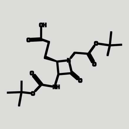 CC(C)(C)OC(=O)CN1C(=O)C(NC(=O)OC(C)(C)C)[C@H]1CCC(=O)O